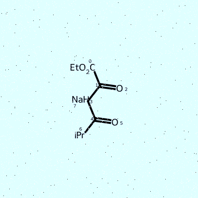 CCOC(=O)C(=O)CC(=O)C(C)C.[NaH]